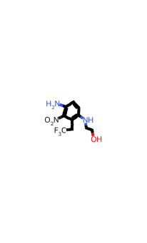 Nc1ccc(NCCO)c(CC(F)(F)F)c1[N+](=O)[O-]